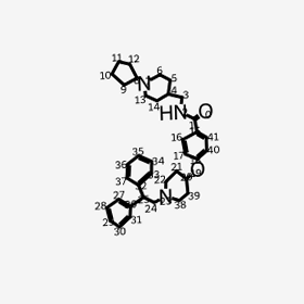 O=C(NCC1CCN(C2CCCC2)CC1)c1ccc(OC2CCN(CC(c3ccccc3)c3ccccc3)CC2)cc1